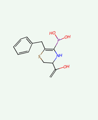 C=C(O)C1CSC(Cc2ccccc2)=C(P(O)O)N1